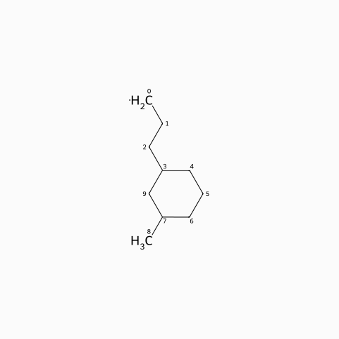 [CH2]CCC1CCCC(C)C1